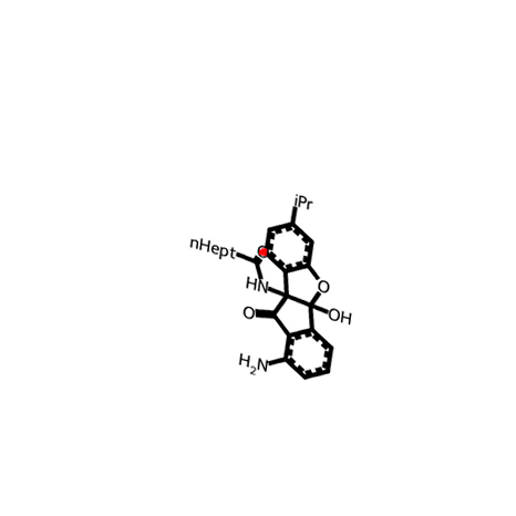 CCCCCCCC(=O)NC12C(=O)c3c(N)cccc3C1(O)Oc1cc(C(C)C)ccc12